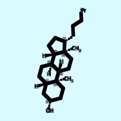 CC(C)CCC[C@H]1CC[C@H]2[C@@H]3CC[C@H]4C[C@@H](O)CC[C@]4(C)[C@H]3CC[C@]12C